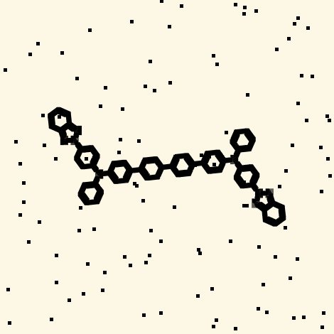 C1=CC(c2ccc(-c3ccc(N(c4ccccc4)c4ccc(-n5nc6ccccc6n5)cc4)cc3)cc2)CC=C1c1ccc(N(C2=CC=C(n3nc4ccccc4n3)CC2)c2ccccc2)cc1